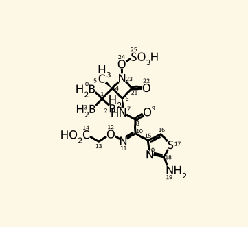 BC(B)(B)[C@@]1(C)[C@H](NC(=O)/C(=N\OCC(=O)O)c2csc(N)n2)C(=O)N1OS(=O)(=O)O